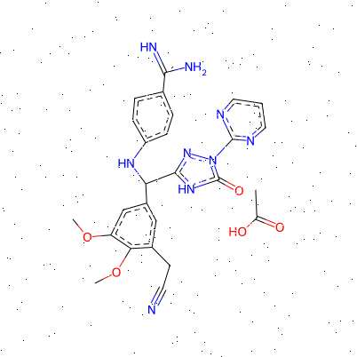 CC(=O)O.COc1cc(C(Nc2ccc(C(=N)N)cc2)c2nn(-c3ncccn3)c(=O)[nH]2)cc(CC#N)c1OC